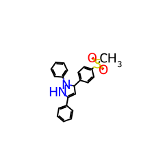 CS(=O)(=O)c1ccc(C2C=C(c3ccccc3)NN2c2ccccc2)cc1